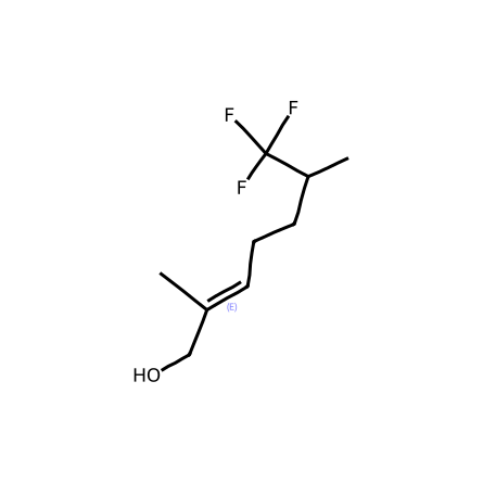 C/C(=C\CCC(C)C(F)(F)F)CO